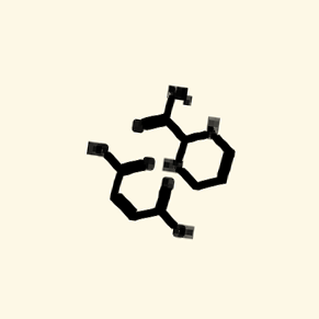 NC(=O)C1NC=CCN1.O=C(O)/C=C\C(=O)O